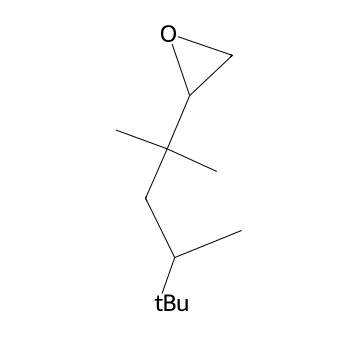 CC(CC(C)(C)C1CO1)C(C)(C)C